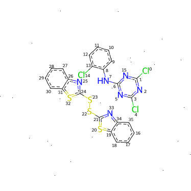 Clc1nc(Cl)nc(Nc2ccccc2Cl)n1.c1ccc2sc(SSc3nc4ccccc4s3)nc2c1